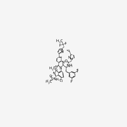 Cn1nc(N[S+](C)[O-])c2c(Cl)ccc(-n3c(C(Cc4cc(F)cc(F)c4)NC(=O)Cn4ccc(C5CC5)n4)nc4cc(-c5ccn(CC(C)(F)F)n5)ccc4c3=O)c21